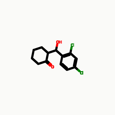 O=C1CCCCC1C(O)c1ccc(Cl)cc1Cl